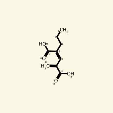 C=C(C=C(CCC)C(=O)O)C(=O)O